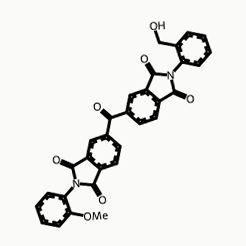 COc1ccccc1N1C(=O)c2ccc(C(=O)c3ccc4c(c3)C(=O)N(c3ccccc3CO)C4=O)cc2C1=O